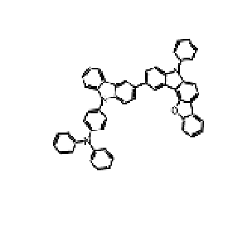 c1ccc(N(c2ccccc2)c2ccc(-n3c4ccccc4c4cc(-c5ccc6c(c5)c5c7oc8ccccc8c7ccc5n6-c5ccccc5)ccc43)cc2)cc1